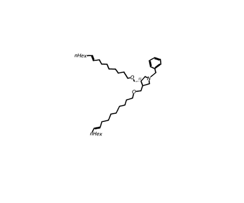 CCCCCCC=CCCCCCCCCOCC1CN(Cc2ccccc2)C[C@H]1COCCCCCCCCC=CCCCCCC